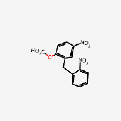 O=C(O)Oc1ccc([N+](=O)[O-])cc1Cc1ccccc1[N+](=O)[O-]